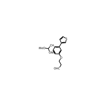 COC(C)OC.O=CCCOc1cccc(-c2ccsc2)c1